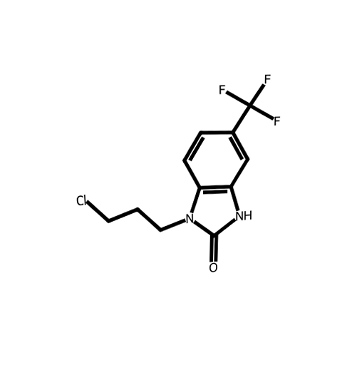 O=c1[nH]c2cc(C(F)(F)F)ccc2n1CCCCl